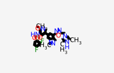 COc1ncc(-c2cc(-c3nnc(CN4C[C@@H](C)N[C@@H](C)C4)o3)c3cnn(C)c3c2)cc1NS(=O)(=O)c1ccc(F)cc1F